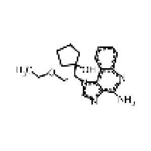 CCOC[C@@H](n1cnc2c(N)nc3ccccc3c21)C1(O)CCCC1